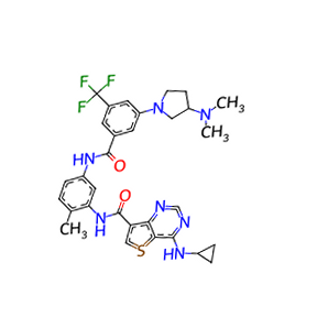 Cc1ccc(NC(=O)c2cc(N3CCC(N(C)C)C3)cc(C(F)(F)F)c2)cc1NC(=O)c1csc2c(NC3CC3)ncnc12